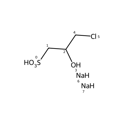 O=S(=O)(O)CC(O)CCl.[NaH].[NaH]